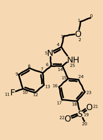 CCOCc1nc(-c2ccc(F)cc2)c(-c2ccc(S(C)(=O)=O)cc2)[nH]1